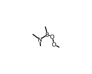 COOB(C)N(C)C